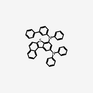 c1ccc(-c2cccc(N(c3ccccc3)c3cc(N(c4ccccc4)c4ccccc4)cc4c3sc3ccc5ccccc5c34)c2)cc1